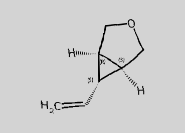 C=C[C@@H]1[C@H]2COC[C@@H]12